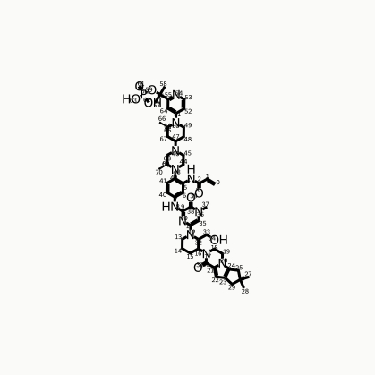 C=CC(=O)Nc1cc(Nc2nc(N3CCCC(N4CCn5c(cc6c5CC(C)(C)C6)C4=O)C3CO)cn(C)c2=O)ccc1N1CCN(C2CCN(c3ccnc(C(C)(C)OP(=O)(O)O)c3)[C@H](C)C2)C[C@@H]1C